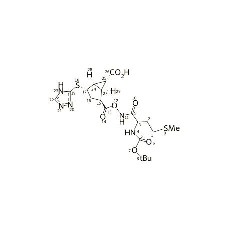 CSCCC(NC(=O)OC(C)(C)C)C(=O)NOC(=O)[C@H]1C[C@H](Sc2nnc[nH]2)[C@H]2[C@H](C(=O)O)[C@H]21